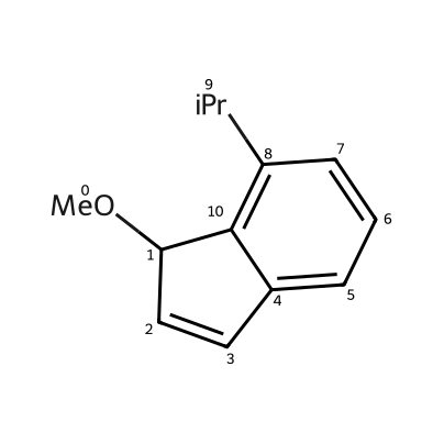 COC1C=Cc2cccc(C(C)C)c21